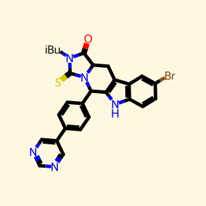 CCC(C)N1C(=O)C2Cc3c([nH]c4ccc(Br)cc34)C(c3ccc(-c4cncnc4)cc3)N2C1=S